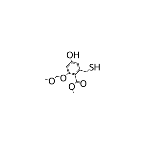 COCOc1cc(O)cc(CS)c1C(=O)OC